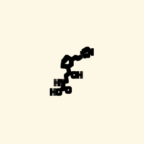 O=C(O)NCCC(O)c1cccc(C=Cn2ccnc2)c1